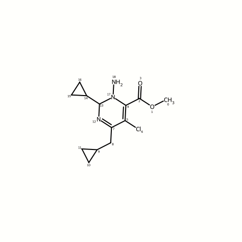 COC(=O)C1=C(Cl)C(CC2CC2)=NC(C2CC2)N1N